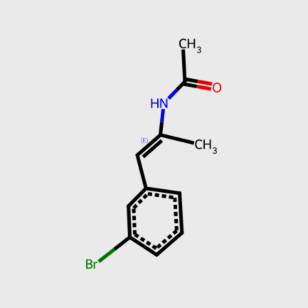 CC(=O)N/C(C)=C/c1cccc(Br)c1